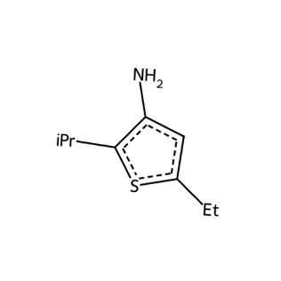 CCc1cc(N)c(C(C)C)s1